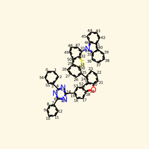 c1ccc(-c2nc(-c3ccccc3)nc(-c3ccc4oc5cccc(-c6cccc7c6sc6c(-n8c9ccccc9c9ccccc98)cccc67)c5c4c3)n2)cc1